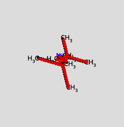 CCCCCCCCCCCCCCCCCCCc1cc(CCCCCCCCCCCCCCCCCCC)cc(C(=C(CCCC)C(=C=[N+]=[N-])CCCC)c2cc(CC)cc(CC)c2)c1.CCCCCCCCCCCCCCC[CH2][Ni][CH2]CCCCCCCCCCCCCCC